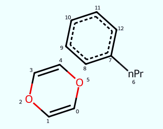 C1=COC=CO1.CCCc1ccccc1